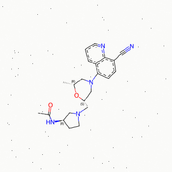 CC(=O)N[C@@H]1CCN(C[C@H]2CN(c3ccc(C#N)c4ncccc34)C[C@@H](C)O2)C1